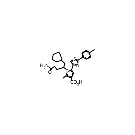 Cc1ccc(-c2nc(-c3cc(C(=O)O)c(C)n3C(CCC(N)=O)CC3CCCCC3)cs2)cc1